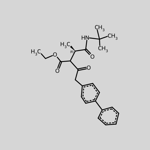 CCOC(=O)C(C(=O)Cc1ccc(-c2ccccc2)cc1)[C@@H](C)C(=O)NC(C)(C)C